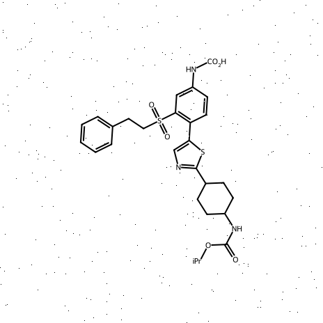 CC(C)OC(=O)NC1CCC(c2ncc(-c3ccc(NC(=O)O)cc3S(=O)(=O)CCc3ccccc3)s2)CC1